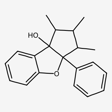 CC1C(C)C2(O)c3ccccc3OC2(c2ccccc2)C1C